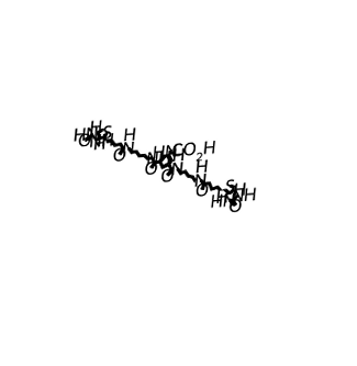 O=C(O)Nc1cc(C(=O)NCCCCCNC(=O)CCCC[C@@H]2SC[C@@H]3NC(=O)N[C@@H]32)cc(C(=O)NCCCCCNC(=O)CCCC[C@@H]2SC[C@@H]3NC(=O)N[C@@H]32)c1